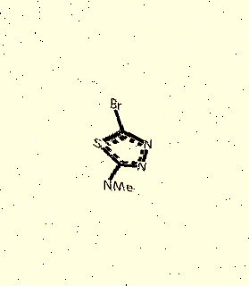 CNc1nnc(Br)s1